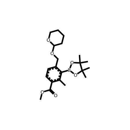 COC(=O)c1ccc(COC2CCCCO2)c(B2OC(C)(C)C(C)(C)O2)c1C